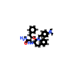 CN(C)c1ccc(CN2C(=O)C(N[C@@H](CCC3CCCCC3)C(N)=O)CCc3ccccc32)cc1